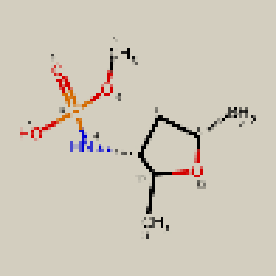 B[C@H]1C[C@@H](NP(=O)(O)OC)C(C)O1